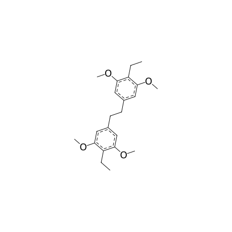 CCc1c(OC)cc(CCc2cc(OC)c(CC)c(OC)c2)cc1OC